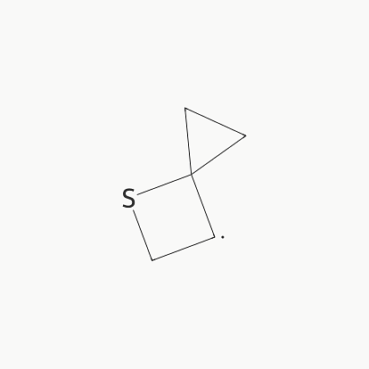 [CH]1CSC12CC2